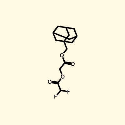 O=C(COC(=O)C(F)F)OCC12CC3CC(CC(C3)C1)C2